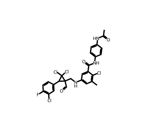 CC(=O)Nc1ccc(NC(=O)c2cc(NCC3(C=O)C(c4ccc(F)c(Cl)c4)C3(Cl)Cl)cc(C)c2Cl)cc1